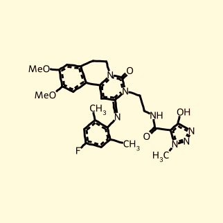 COc1cc2c(cc1OC)-c1c/c(=N\c3c(C)cc(F)cc3C)n(CCNC(=O)c3c(O)nnn3C)c(=O)n1CC2